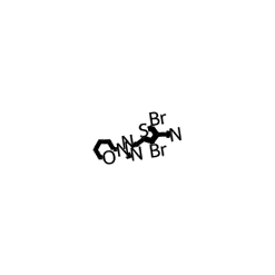 N#Cc1c(Br)sc(-c2ncn(C3CCCCO3)n2)c1Br